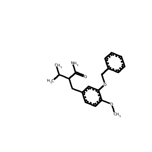 COc1ccc(CC(C(N)=O)C(C)C)cc1OCc1ccccc1